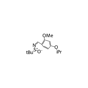 COc1cc(OC(C)C)ccc1/C=N\[S+]([O-])C(C)(C)C